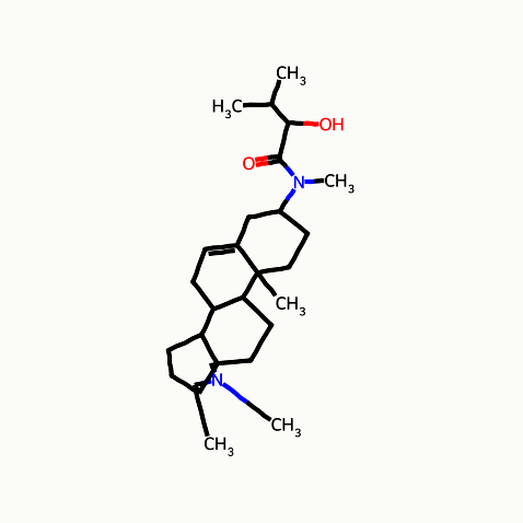 CC(C)C(O)C(=O)N(C)C1CCC2(C)C(=CCC3C2CCC24CN(C)C(C)C2CCC34)C1